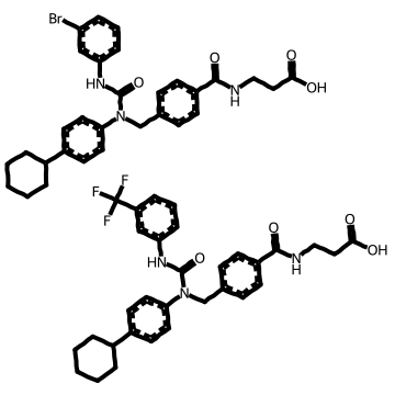 O=C(O)CCNC(=O)c1ccc(CN(C(=O)Nc2cccc(Br)c2)c2ccc(C3CCCCC3)cc2)cc1.O=C(O)CCNC(=O)c1ccc(CN(C(=O)Nc2cccc(C(F)(F)F)c2)c2ccc(C3CCCCC3)cc2)cc1